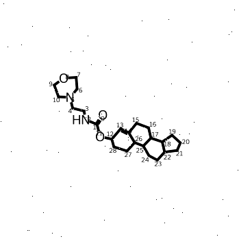 O=C(NCCN1CCOCC1)OC1C=C2CCC3C4CCCC4CCC3C2CC1